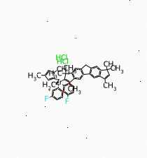 Cl.Cl.[CH2]=[Zr]([C]1=CC(C)=CC1C)([C]1=C(C)c2cc3c(cc2C1(C)C)Cc1cc2c(cc1-3)C(C)=CC2(C)C)([c]1cccc(F)c1)[c]1cccc(F)c1